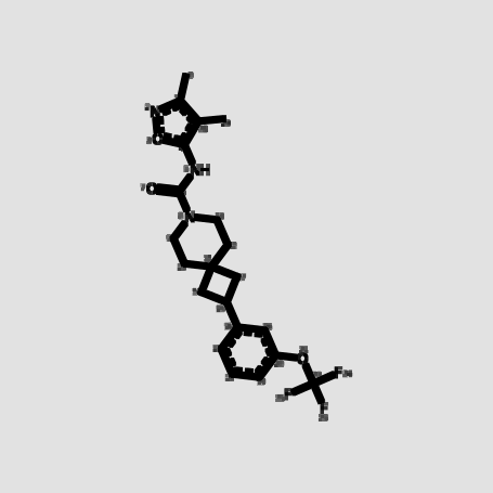 Cc1noc(NC(=O)N2CCC3(CC2)CC(c2cccc(OC(F)(F)F)c2)C3)c1C